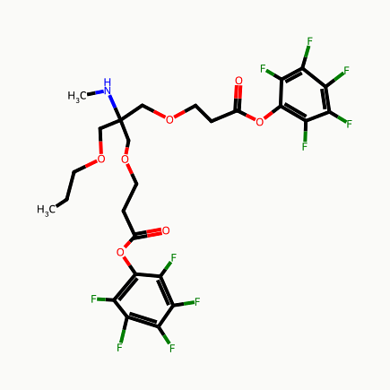 CCCOCC(COCCC(=O)Oc1c(F)c(F)c(F)c(F)c1F)(COCCC(=O)Oc1c(F)c(F)c(F)c(F)c1F)NC